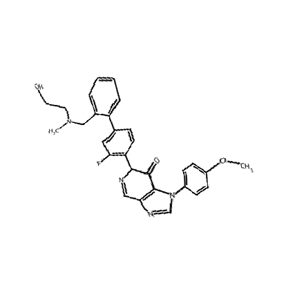 COc1ccc(-n2cnc3c2C(=O)C(c2ccc(-c4ccccc4CN(C)CCO)cc2F)N=C3)cc1